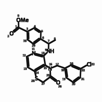 COC(=O)c1ccc(C(C)Nc2nccc3c2N(Cc2cccc(Cl)c2)C(=O)CS3)cc1